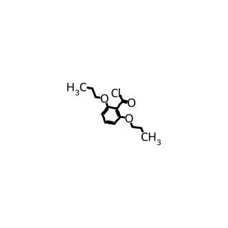 CCCOc1cccc(OCCC)c1C(=O)Cl